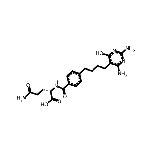 NC(=O)CC[C@H](NC(=O)c1ccc(CCCCc2c(N)nc(N)nc2O)cc1)C(=O)O